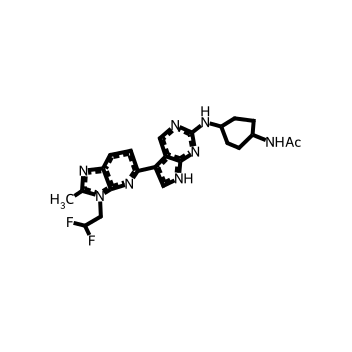 CC(=O)NC1CCC(Nc2ncc3c(-c4ccc5nc(C)n(CC(F)F)c5n4)c[nH]c3n2)CC1